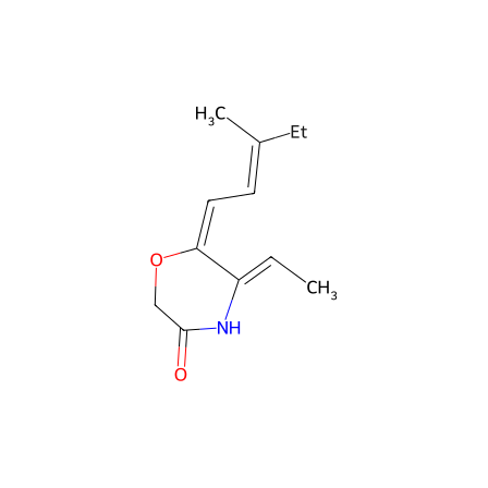 CC=C1NC(=O)CO/C1=C/C=C(\C)CC